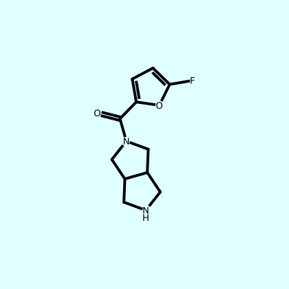 O=C(c1ccc(F)o1)N1CC2CNCC2C1